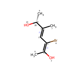 C/C(O)=C(Br)\C=C(/C)[C@@H](C)O